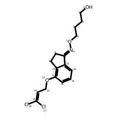 OCCCCON=C1CCc2c(OCC=C(Cl)Cl)cccc21